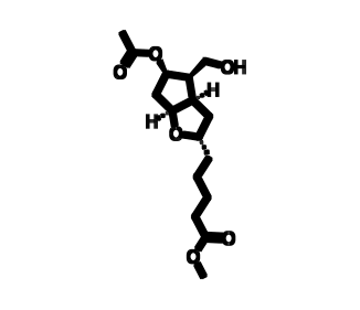 COC(=O)CCCC[C@H]1C[C@@H]2[C@H](CO)[C@H](OC(C)=O)C[C@@H]2O1